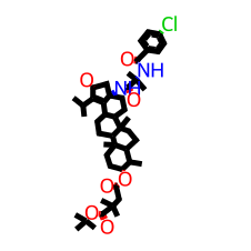 CC(C)C1=C2C3CCC4C(C)(CCC5C(C)C(OC(=O)CC(C)(C)C(=O)OC(C)(C)C)CCC54C)C3CCC2(NC(=O)C(C)(C)NC(=O)c2ccc(Cl)cc2)CC1=O